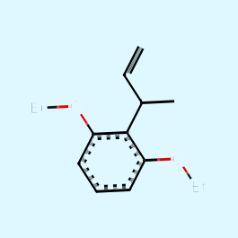 C=C[C](C)c1c(OCC)cccc1OCC